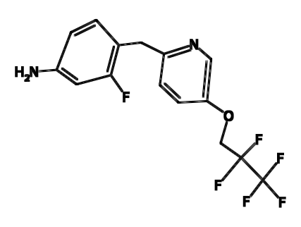 Nc1ccc(Cc2ccc(OCC(F)(F)C(F)(F)F)cn2)c(F)c1